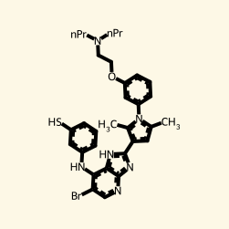 CCCN(CCC)CCOc1cccc(-n2c(C)cc(-c3nc4ncc(Br)c(Nc5cccc(S)c5)c4[nH]3)c2C)c1